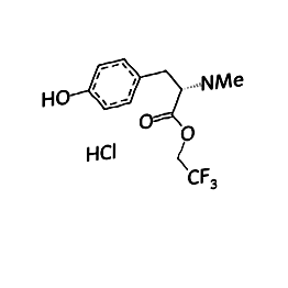 CN[C@@H](Cc1ccc(O)cc1)C(=O)OCC(F)(F)F.Cl